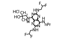 CCCNc1nc(NCC(F)F)nc2c(NCC(C)(C)O)nc(NCC(F)F)nc12.Cl